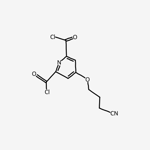 N#CCCCOc1cc(C(=O)Cl)nc(C(=O)Cl)c1